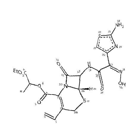 C=CC1=C(C(=O)OC(C)C(=O)OCC)N2C(=O)C(NC(=O)/C(=N\O)c3csc(N)n3)[C@@H]2SC1